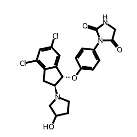 O=C1CNC(=O)N1c1ccc(O[C@H]2c3cc(Cl)cc(Cl)c3C[C@@H]2N2CCC(O)C2)cc1